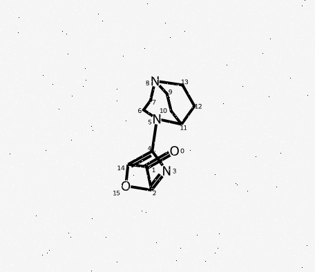 O=C1c2nc(N3CCN4CCC3CC4)c1o2